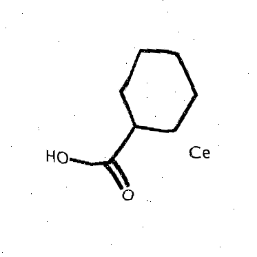 O=C(O)C1CCCCC1.[Ce]